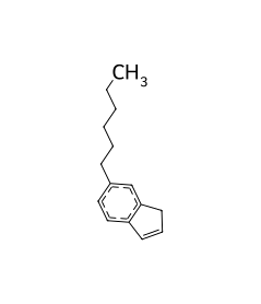 CCCCCCc1ccc2c(c1)CC=C2